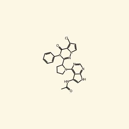 CC(=O)Nc1c[nH]c2ncnc(N3CCCC3c3nn4ccc(Cl)c4c(=O)n3-c3ccccc3)c12